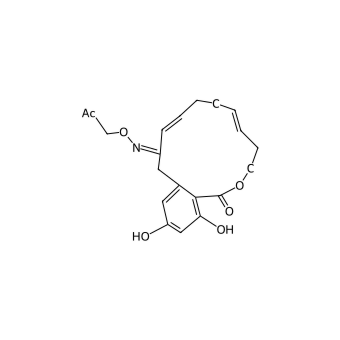 CC(=O)CON=C1/C=C/CC/C=C/CCOC(=O)c2c(O)cc(O)cc2C1